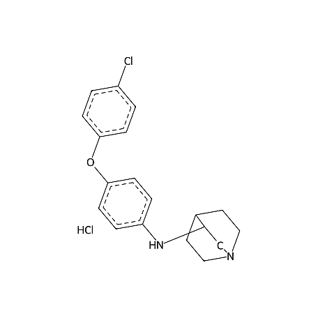 Cl.Clc1ccc(Oc2ccc(NC3CN4CCC3CC4)cc2)cc1